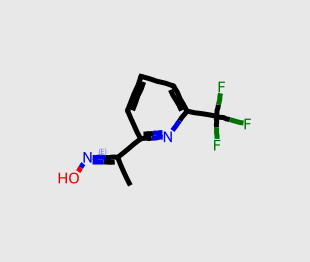 C/C(=N\O)c1cccc(C(F)(F)F)n1